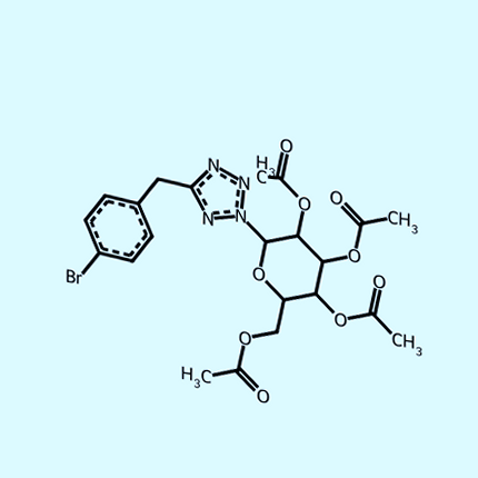 CC(=O)OCC1OC(n2nnc(Cc3ccc(Br)cc3)n2)C(OC(C)=O)C(OC(C)=O)C1OC(C)=O